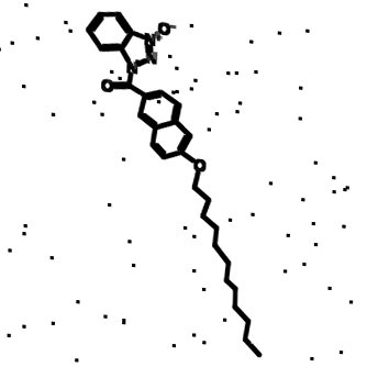 CCCCCCCCCCCCOc1ccc2cc(C(=O)n3n[n+]([O-])c4ccccc43)ccc2c1